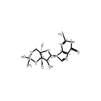 B[PH]1(O)OC[C@H]2O[C@@H](n3cnc4c(=O)[nH]c(N)nc43)C(O)[C@@H]2O1